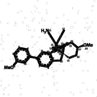 COc1cccc(-c2ccc3c(c2)C2(N=C(N)N(C)C2=O)[C@]2(CC[C@H](OC)CC2)C3)c1